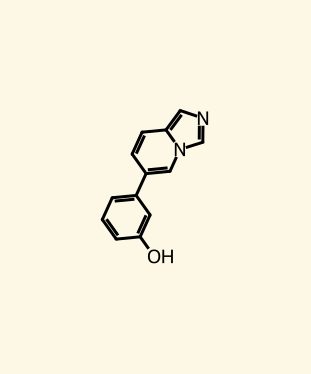 Oc1cccc(-c2ccc3cncn3c2)c1